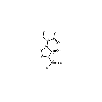 CCC(C(C)=O)N1CCC(C(=O)O)C1=O